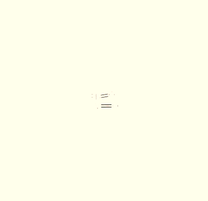 [O]=[Pb].[O]=[V]